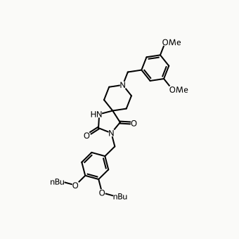 CCCCOc1ccc(CN2C(=O)NC3(CCN(Cc4cc(OC)cc(OC)c4)CC3)C2=O)cc1OCCCC